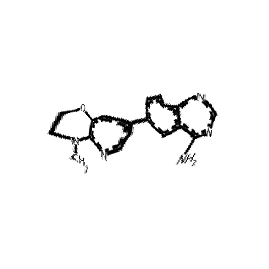 CN1CCOc2cc(-c3ccc4ncnc(N)c4c3)cnc21